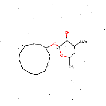 CNC1CC(C)O[C@@H](OC2CCCCCCCCCCC2)C1O